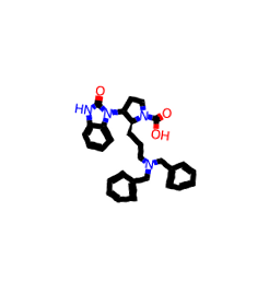 O=C(O)N1CCC(n2c(=O)[nH]c3ccccc32)[C@@H]1CCCN(Cc1ccccc1)Cc1ccccc1